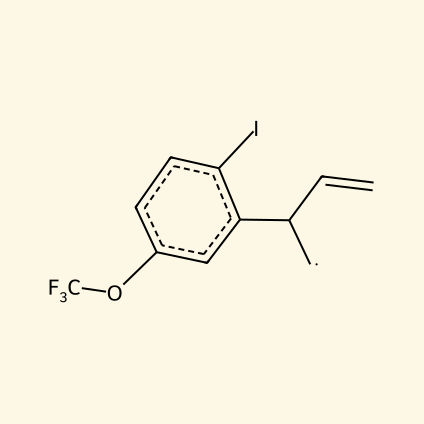 [CH2]C(C=C)c1cc(OC(F)(F)F)ccc1I